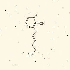 CCCC=CCc1occc(=O)c1O